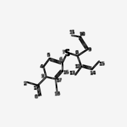 C=C(C)C1CC=C(SC(/C=C\C)/C(C)=C\C)C=C1C